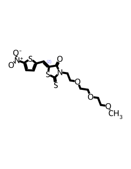 COCCOCCOCCN1C(=O)/C(=C/c2ccc([N+](=O)[O-])s2)SC1=S